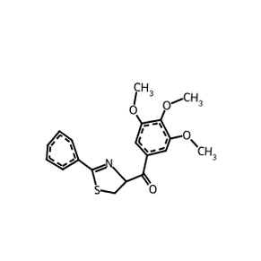 COc1cc(C(=O)C2CSC(c3ccccc3)=N2)cc(OC)c1OC